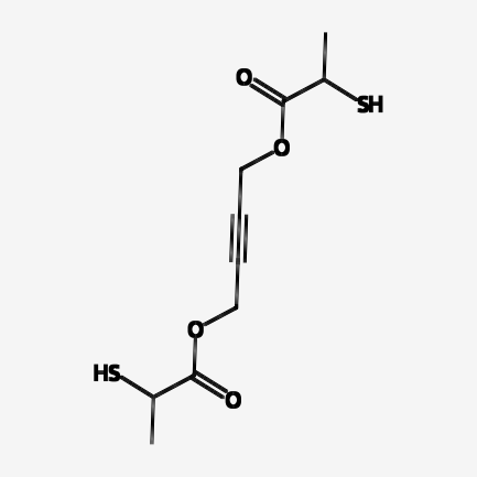 CC(S)C(=O)OCC#CCOC(=O)C(C)S